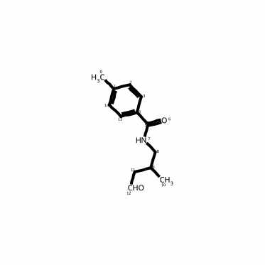 Cc1ccc(C(=O)NCC(C)CC=O)cc1